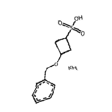 O=S(=O)(O)C1CC(OCc2ccccc2)C1.[KH]